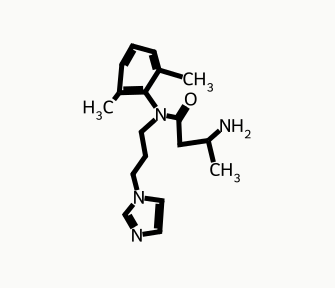 Cc1cccc(C)c1N(CCCn1ccnc1)C(=O)CC(C)N